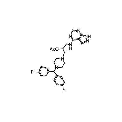 CC(=O)OC(CNc1ncnc2[nH]ncc12)CN1CCN(C(c2ccc(F)cc2)c2ccc(F)cc2)CC1